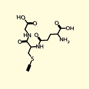 C#CSCC(NC(=O)CCC(N)C(=O)O)C(=O)NCC(=O)O